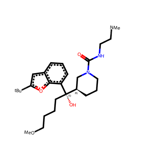 CNCCNC(=O)N1CCC[C@@H]([C@@](O)(CCCCOC)c2cccc3cc(C(C)(C)C)oc23)C1